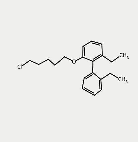 CCc1ccccc1-c1c(CC)cccc1OCCCCCCl